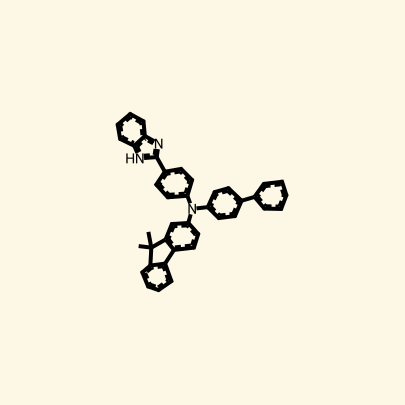 CC1(C)c2ccccc2-c2ccc(N(c3ccc(-c4ccccc4)cc3)c3ccc(-c4nc5ccccc5[nH]4)cc3)cc21